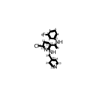 C=C(Nc1cccc(F)c1)c1ccc(Cl)nc1NCc1ccncc1